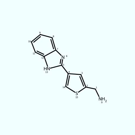 NCc1cc(-c2nc3ccccc3[nH]2)cs1